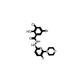 O=C(NNc1ccc(F)c(N2CCOCC2)n1)c1cc(Br)cc(Cl)c1O